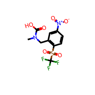 CN(Cc1cc([N+](=O)[O-])ccc1S(=O)(=O)C(F)(F)F)C(=O)O